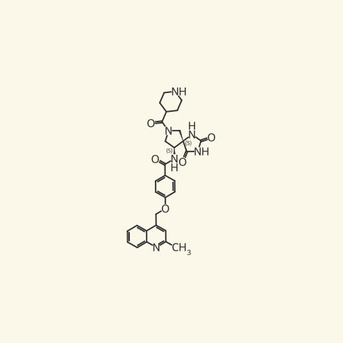 Cc1cc(COc2ccc(C(=O)N[C@H]3CN(C(=O)C4CCNCC4)C[C@]34NC(=O)NC4=O)cc2)c2ccccc2n1